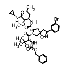 CCCC(NC(=O)[C@@H]1C[C@]2(CC(c3cccc(Br)c3)=NO2)CN1C(=O)[C@@H](NC(=O)OCc1ccccc1)C(C)(C)C)C(OC)C(=O)NC1CC1